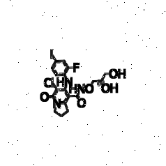 O=C(NOC[C@@H](O)CO)c1c(Nc2ccc(I)cc2F)c(Cl)c(=O)n2c1CCC2